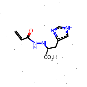 C=CC(=O)NN[C@@H](Cc1c[nH]cn1)C(=O)O